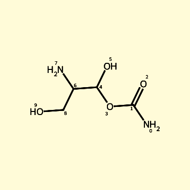 NC(=O)OC(O)C(N)CO